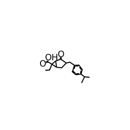 CCC1(C(=O)O)C2CC(Cc3ccc(C(C)C)cc3)C(=O)C21